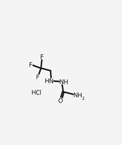 Cl.NC(=O)NNCC(F)(F)F